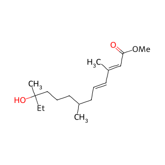 CCC(C)(O)CCCC(C)C/C=C/C(C)=C/C(=O)OC